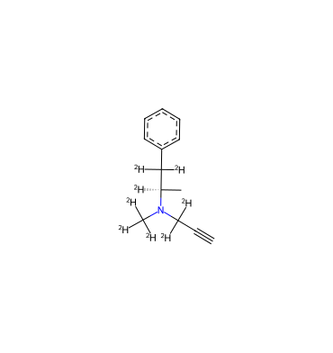 [2H]C([2H])([2H])N(C([2H])([2H])C#C)[C@]([2H])(C)C([2H])([2H])c1ccccc1